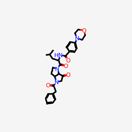 CC(C)CC(NC(=O)c1ccc(N2CCOCC2)cc1)C(=O)N1CCC2C1C(=O)CN2C(=O)Cc1ccccc1